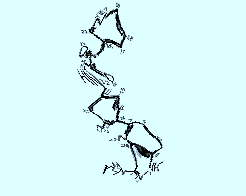 Nc1n[nH]c2ccc(-c3ccc(NS(=O)(=O)c4cccnc4)cc3Cl)nc12